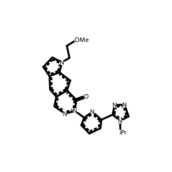 COCCn1ccc2cc3cnn(-c4cccc(-c5nncn5C(C)C)n4)c(=O)c3cc21